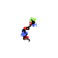 COC(=O)c1cnc(-c2cc(Oc3cccc(C=CC(=O)Nc4ccc(F)c(C(F)(F)F)c4)c3)ccn2)[nH]1